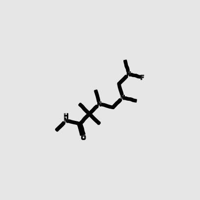 CNC(=O)C(C)(C)N(C)CN(C)CN(C)F